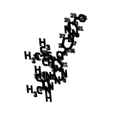 Cc1[nH]nc(NC2=NC=NC3C=C(OCC4CCN(C5=NCC(C=O)C=N5)CC4)C(SC(C)(C)C)=CC23)c1C